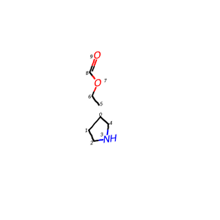 C1CCNC1.CCOC=O